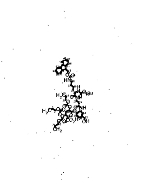 C=CCOC(=O)O[C@@H]1[C@@H](OC(=O)OCC=C)[C@H](Oc2ccc(CO)cc2NC(=O)CCNC(=O)[C@H](CCCCNC(=O)OCC2c3ccccc3-c3ccccc32)NC(=O)OC(C)(C)C)O[C@H](C(=O)O)[C@H]1OC(=O)OCC=C